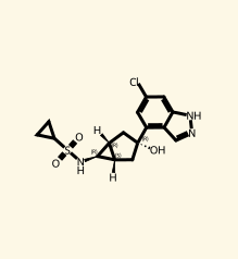 O=S(=O)(N[C@H]1[C@@H]2C[C@@](O)(c3cc(Cl)cc4[nH]ncc34)C[C@@H]21)C1CC1